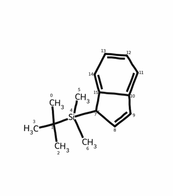 CC(C)(C)[Si](C)(C)[C]1C=Cc2ccccc21